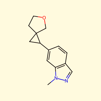 Cn1ncc2ccc(C3CC34CCOC4)cc21